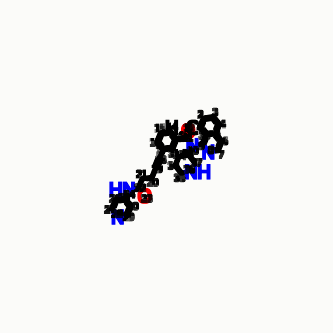 Cc1cccc2ccnc(N(C(=O)c3cccc(C#CCCC(=O)Nc4ccncc4)c3)[C@@H]3CCCNC3)c12